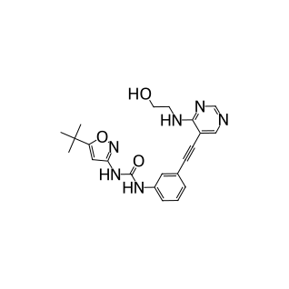 CC(C)(C)c1cc(NC(=O)Nc2cccc(C#Cc3cncnc3NCCO)c2)no1